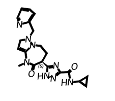 CN1C(=O)[C@H](c2nc(C(=O)NC3CC3)n[nH]2)CCN2C1=CCN2Cc1ccccn1